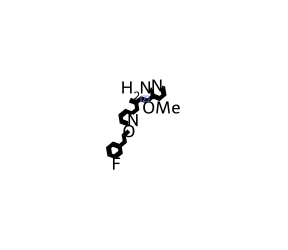 C=C(/C=C(\OC)c1cccnc1N)Cc1cccc(OCCc2cccc(F)c2)n1